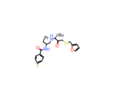 CCCCC(NCC(CC(C)C)NC(=O)c1ccc(F)cc1)C(=O)CSCc1ccco1